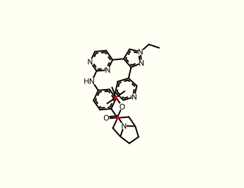 CCn1cc(-c2ccnc(Nc3ccc(C4CC5CCC(C4)N5C(=O)OC(C)(C)C)cc3)n2)c(-c2cccnc2)n1